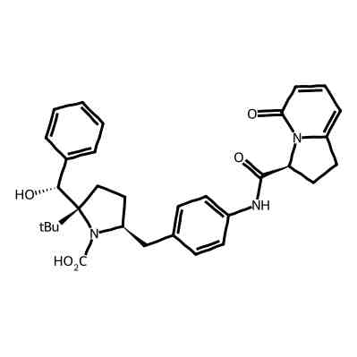 CC(C)(C)[C@@]1([C@H](O)c2ccccc2)CC[C@@H](Cc2ccc(NC(=O)[C@@H]3CCc4cccc(=O)n43)cc2)N1C(=O)O